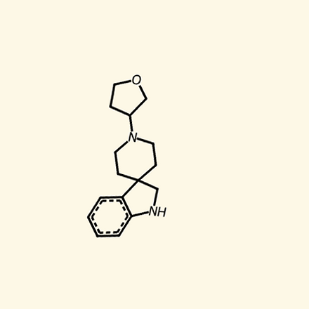 c1ccc2c(c1)NCC21CCN(C2CCOC2)CC1